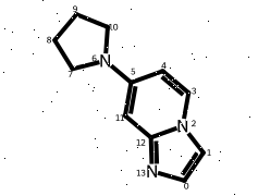 c1cn2ccc(N3CCCC3)cc2n1